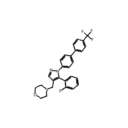 Fc1ccccc1-c1c(CN2CCOCC2)cnn1-c1ccc(-c2ccc(C(F)(F)F)cc2)cc1